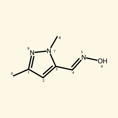 Cc1cc(/C=N/O)n(C)n1